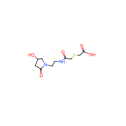 O=C(O)CSCC(=O)NCCN1CC(O)CC1=O